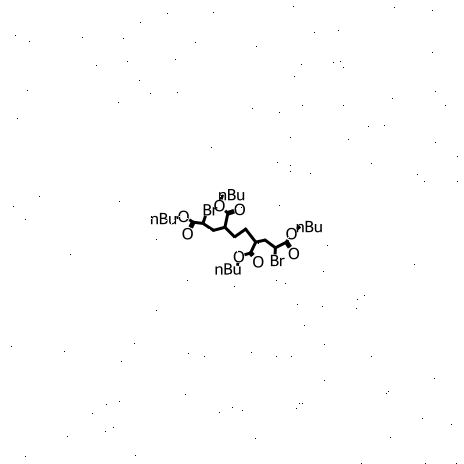 CCCCOC(=O)C(Br)CC(CCC(CC(Br)C(=O)OCCCC)C(=O)OCCCC)C(=O)OCCCC